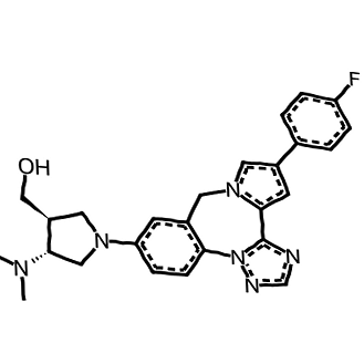 CN(C)[C@H]1CN(c2ccc3c(c2)Cn2cc(-c4ccc(F)cc4)cc2-c2ncnn2-3)C[C@@H]1CO